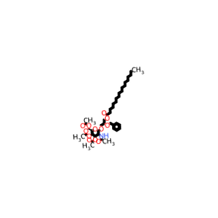 CCCCCCCCCCCCCCCCCC(=O)OCC(CO[C@@H]1O[C@H](COC(C)=O)[C@@H](OC(C)=O)[C@H](OC(C)=O)[C@@H]1NC(C)=O)OCc1ccccc1